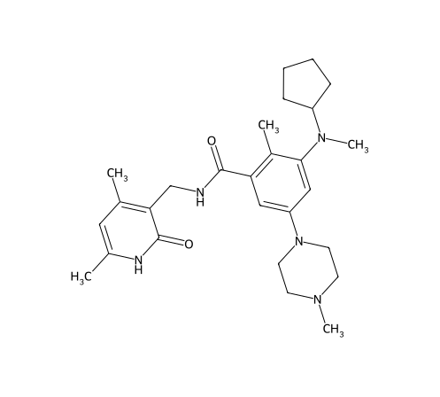 Cc1cc(C)c(CNC(=O)c2cc(N3CCN(C)CC3)cc(N(C)C3CCCC3)c2C)c(=O)[nH]1